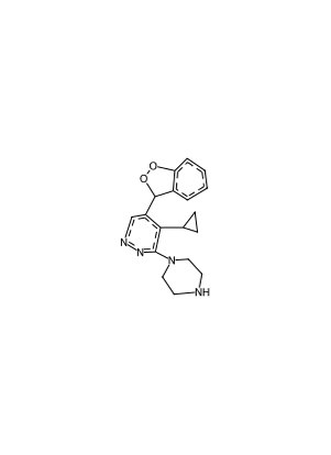 c1ccc2c(c1)OOC2c1cnnc(N2CCNCC2)c1C1CC1